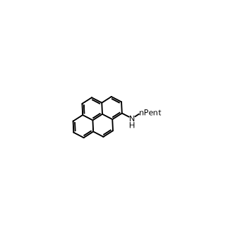 CCCCCNc1ccc2ccc3cccc4ccc1c2c34